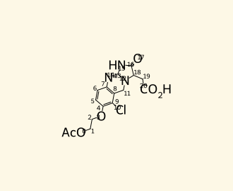 CC(=O)OCCOc1ccc2c(c1Cl)CN1C(=N2)NC(=O)C1CC(=O)O